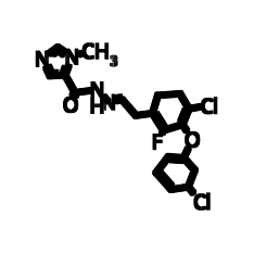 Cn1cncc1C(=O)N/N=C/CC1=C(F)C(OC2=CC=CC(Cl)C2)=C(Cl)CC1